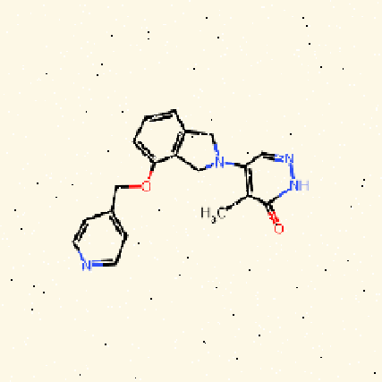 Cc1c(N2Cc3cccc(OCc4ccncc4)c3C2)cn[nH]c1=O